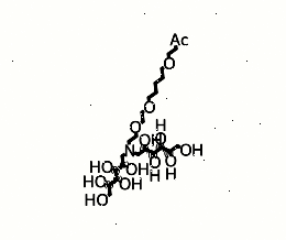 CC(=O)CCOCCCCCOCCOCCN(C[C@H](O)[C@@H](O)[C@H](O)[C@H](O)CO)C[C@H](O)[C@@H](O)[C@H](O)[C@H](O)CO